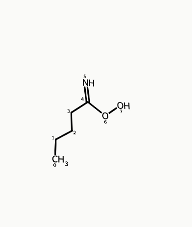 CCCCC(=N)OO